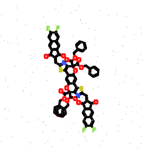 O=C1C(=Cc2nc3c(s2)-c2cc4c(cc2OC3(C(=O)OCc2ccccc2)C(=O)OCc2ccccc2)-c2sc(C=C3C(=O)c5cc6cc(F)c(F)cc6cc5C3=O)nc2C(C(=O)OCc2ccccc2)(C(=O)OCc2ccccc2)O4)C(=O)c2cc3cc(F)c(F)cc3cc21